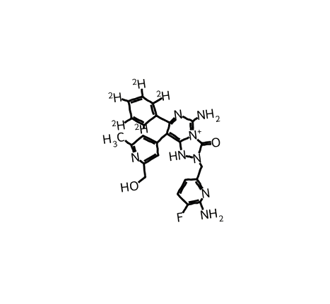 [2H]c1c([2H])c([2H])c(-c2nc(N)[n+]3c(=O)n(Cc4ccc(F)c(N)n4)[nH]c3c2-c2cc(C)nc(CO)c2)c([2H])c1[2H]